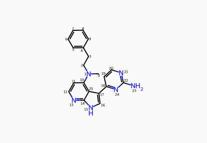 CN(CCc1ccccc1)c1ccnc2[nH]cc(-c3ccnc(N)n3)c12